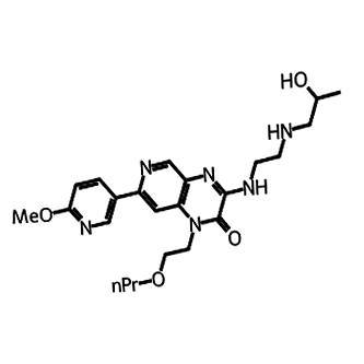 CCCOCCn1c(=O)c(NCCNCC(C)O)nc2cnc(-c3ccc(OC)nc3)cc21